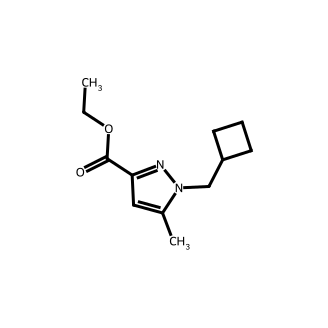 CCOC(=O)c1cc(C)n(CC2CCC2)n1